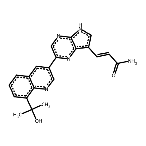 CC(C)(O)c1cccc2cc(-c3cnc4[nH]cc(/C=C/C(N)=O)c4n3)cnc12